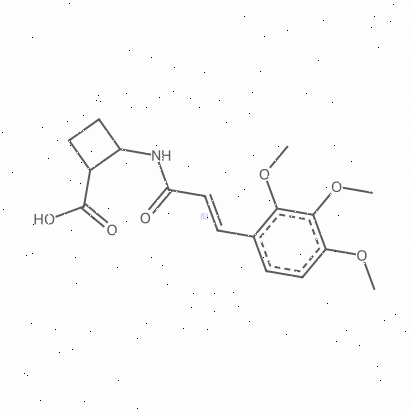 COc1ccc(/C=C/C(=O)NC2CCC2C(=O)O)c(OC)c1OC